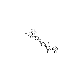 CC(C)OC(=O)N1CCC(ON=C2CCN(c3cc(F)c(CN4CCOC4=O)cc3F)CC2)CC1